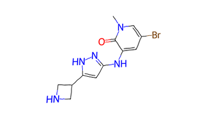 Cn1cc(Br)cc(Nc2cc(C3CNC3)[nH]n2)c1=O